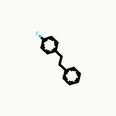 Fc1ccc(CCc2ccccc2)cc1